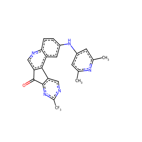 Cc1cc(Nc2ccc3ncc4c(c3c2)-c2cnc(C(F)(F)F)nc2C4=O)cc(C)n1